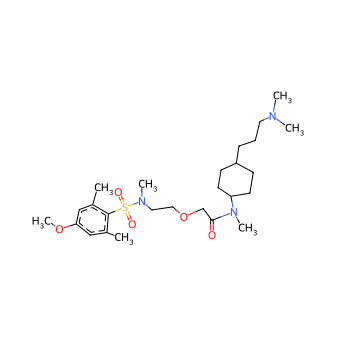 COc1cc(C)c(S(=O)(=O)N(C)CCOCC(=O)N(C)C2CCC(CCCN(C)C)CC2)c(C)c1